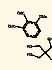 CC(CO)(CO)CO.COc1cccc(C=O)c1C=O